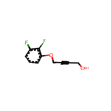 OCC#CCOc1cccc(F)c1F